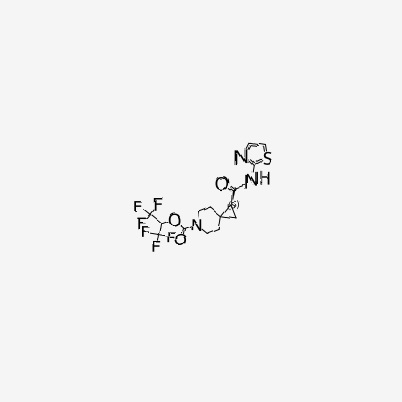 O=C(Nc1nccs1)[C@H]1CC12CCN(C(=O)OC(C(F)(F)F)C(F)(F)F)CC2